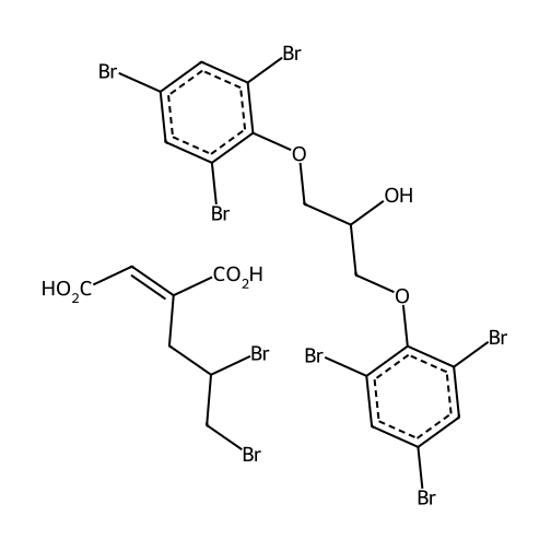 O=C(O)/C=C(\CC(Br)CBr)C(=O)O.OC(COc1c(Br)cc(Br)cc1Br)COc1c(Br)cc(Br)cc1Br